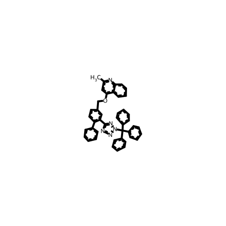 Cc1cc(OCc2ccc(-c3ccccc3)c(-c3nnn(C(c4ccccc4)(c4ccccc4)c4ccccc4)n3)c2)c2ccccc2n1